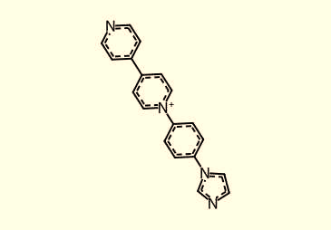 c1cc(-c2cc[n+](-c3ccc(-n4ccnc4)cc3)cc2)ccn1